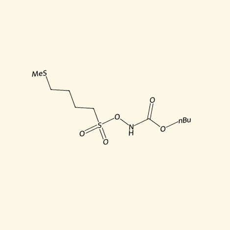 CCCCOC(=O)NOS(=O)(=O)CCCCSC